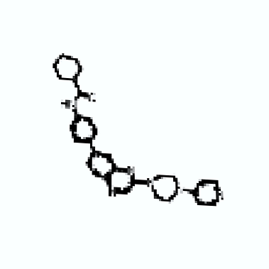 O=C(Nc1ccc(-c2ccc3ncc(N4CCN(c5ccncc5)CC4)nc3c2)cc1)C1CCCCC1